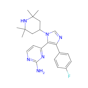 CC1(C)CC(n2cnc(-c3ccc(F)cc3)c2-c2ccnc(N)n2)CC(C)(C)N1